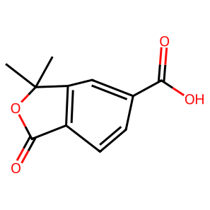 CC1(C)OC(=O)c2ccc(C(=O)O)cc21